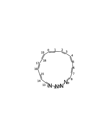 C1=CC=CC=CC=CC=NN=NN=CC=CC=CC=C1